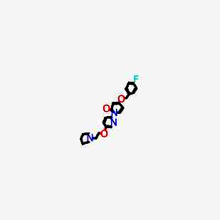 O=c1cc(OCc2ccc(F)cc2)ccn1-c1ccc(OCCN2CCCCC2)cn1